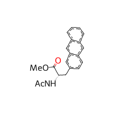 COC(=O)[C@H](Cc1ccc2cc3ccccc3cc2c1)NC(C)=O